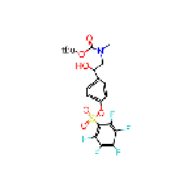 CN(CC(O)c1ccc(OS(=O)(=O)c2c(F)c(F)c(F)c(F)c2F)cc1)C(=O)OC(C)(C)C